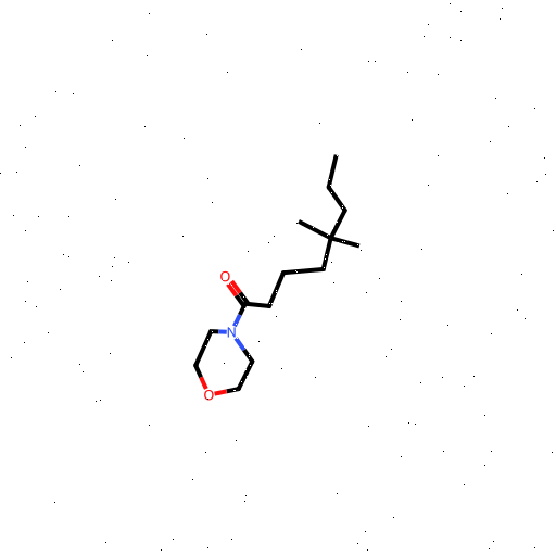 CCCC(C)(C)CCCC(=O)N1CCOCC1